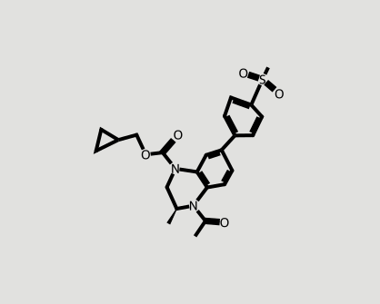 CC(=O)N1c2ccc(-c3ccc(S(C)(=O)=O)cc3)cc2N(C(=O)OCC2CC2)C[C@@H]1C